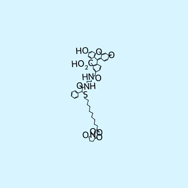 O=C(CCCCCCCCCCSC(C(=O)NCCNC(=O)c1ccc(-c2c3ccc(=O)cc-3oc3cc(O)ccc23)c(C(=O)O)c1)c1ccccc1)ON1C(=O)CCC1=O